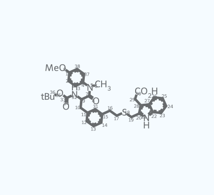 COc1ccc(N(C)C(=O)C(Cc2cccc(CCSCc3[nH]c4ccccc4c3CC(=O)O)c2)NC(=O)OC(C)(C)C)cc1